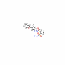 Cc1cc(C(=O)NS(=O)(=O)c2ccccc2S(N)(=O)=O)ccc1-c1cc2ccccc2o1